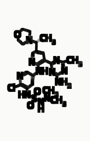 Cc1nc(N)nc(-c2cc([C@@H](C)N3CCOCC3)cnc2Nc2cnc(Cl)c(NS(=O)(=O)NN(C)C)c2)n1